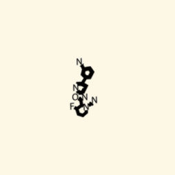 N#Cc1cccc(-c2cnc3oc(C4C(F)CCCN4C#N)nc3c2)c1